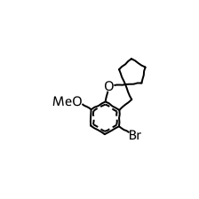 COc1ccc(Br)c2c1OC1(CCCC1)C2